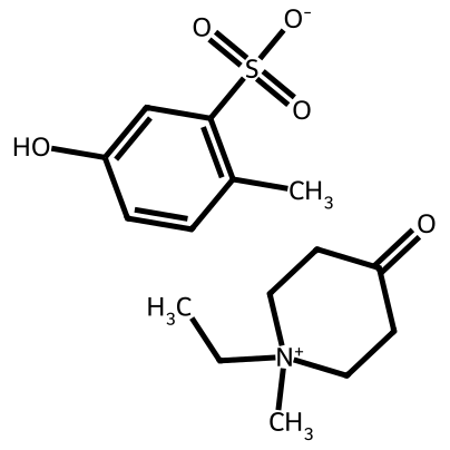 CC[N+]1(C)CCC(=O)CC1.Cc1ccc(O)cc1S(=O)(=O)[O-]